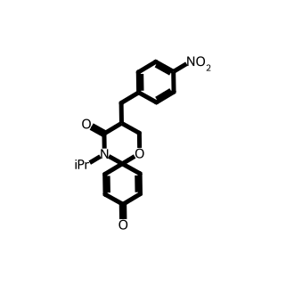 CC(C)N1C(=O)C(Cc2ccc([N+](=O)[O-])cc2)COC12C=CC(=O)C=C2